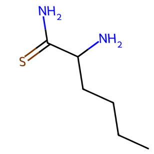 CCCCC(N)C(N)=S